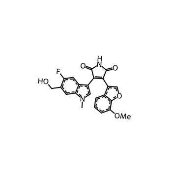 COc1cccc2c(C3=C(c4cn(C)c5cc(CO)c(F)cc45)C(=O)NC3=O)coc12